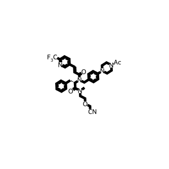 CC(=O)N1CCN(c2ccc(CN(C(=O)C=Cc3ccc(C(F)(F)F)nc3)[C@@H](Cc3ccccc3)C(=O)N(C)CCOCC#N)cc2)CC1